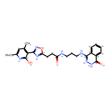 COc1cc(C)c(-c2noc(CCC(=O)NCCCNc3n[nH]c(=O)c4ccccc34)n2)c(O)n1